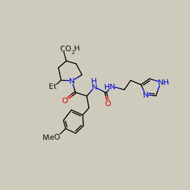 CCC1CC(C(=O)O)CCN1C(=O)C(Cc1ccc(OC)cc1)NC(=O)NCCc1c[nH]cn1